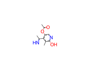 CC(=N)c1c(OC(C)=O)cnc(O)c1C